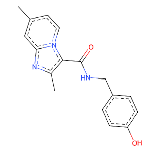 Cc1ccn2c(C(=O)NCc3ccc(O)cc3)c(C)nc2c1